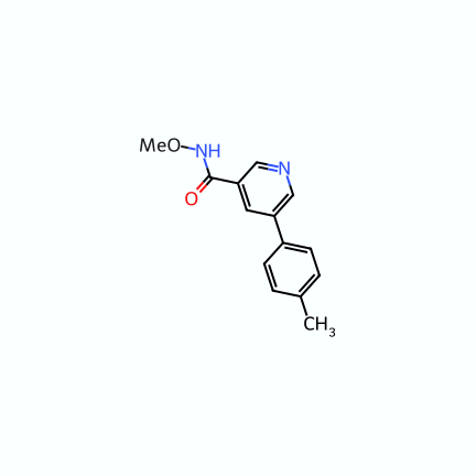 CONC(=O)c1cncc(-c2ccc(C)cc2)c1